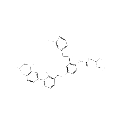 Cc1c(COc2ccc(NC(=O)NC(CO)C(=O)O)c(OCc3cccc(C#N)c3)c2)cccc1-c1ccc2c(c1)OCCO2